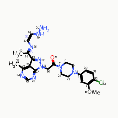 COc1cc(N2CCN(C(=O)Cn3nc(/C(C)=N/C=C\NN)c4c(C)ncnc43)CC2)ccc1Cl